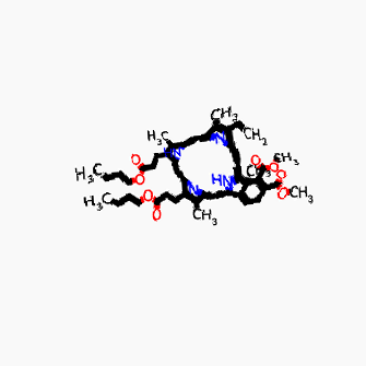 C=CC1=C(C)c2cc3[nH]c(cc4nc(cc5[nH]c(cc1n2)C1(C)C5=CCC(C(=O)OC)=C1C(=O)OC)C(C)=C4CCC(=O)OCCCC)c(CCC(=O)OCCCC)c3C